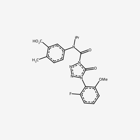 COc1cccc(F)c1-n1nnn(C(=O)N(c2ccc(C)c(C(=O)O)c2)C(C)C)c1=O